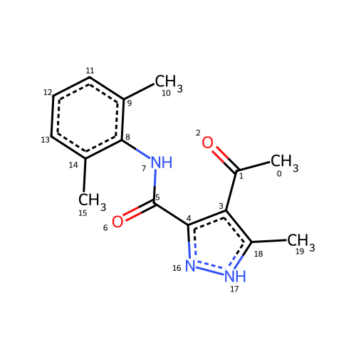 CC(=O)c1c(C(=O)Nc2c(C)cccc2C)n[nH]c1C